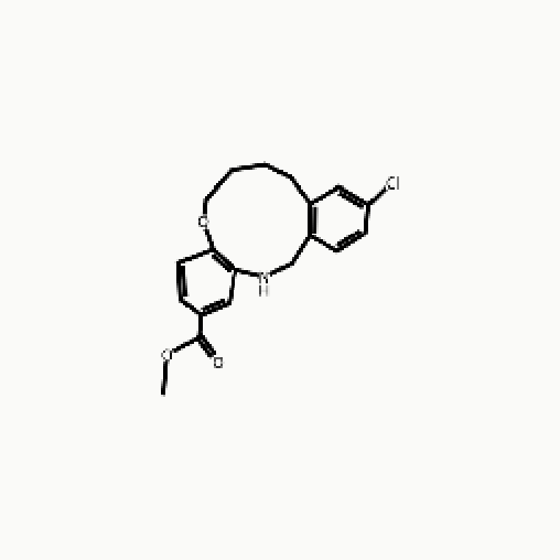 COC(=O)c1ccc2c(c1)NCc1ccc(Cl)cc1CCCCO2